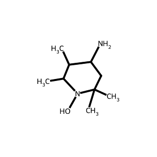 CC1C(N)CC(C)(C)N(O)C1C